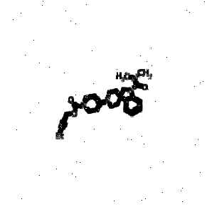 CCC#CCOC(=O)N1CCC(N2CCC3(CC2)CN(C(=O)N(C)C)c2ccccc23)CC1